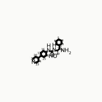 N[C@@H](c1ccccc1)[C@H](CO)NC(=O)Nc1ccc(-c2ccncc2)cc1